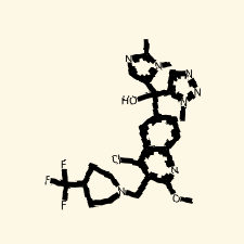 COc1nc2ccc(C(O)(c3cnnn3C)c3cnc(C)n3C)cc2c(Cl)c1CN1CCC(C(F)(F)F)CC1